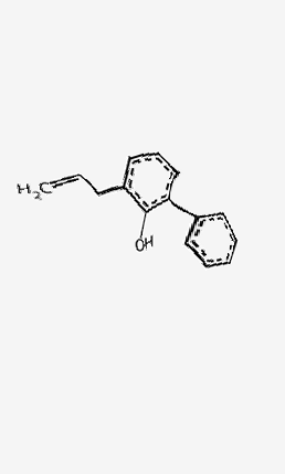 C=CCc1cccc(-c2ccccc2)c1O